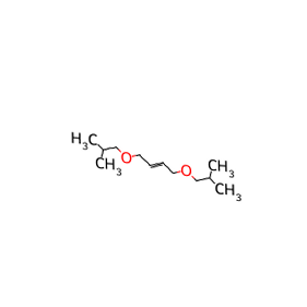 CC(C)COCC=CCOCC(C)C